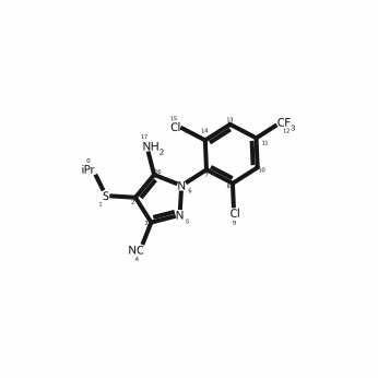 CC(C)Sc1c(C#N)nn(-c2c(Cl)cc(C(F)(F)F)cc2Cl)c1N